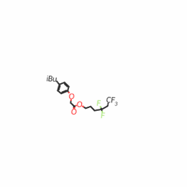 CCC(C)c1ccc(OCC(=O)OCCCC(F)(F)CC(F)(F)F)cc1